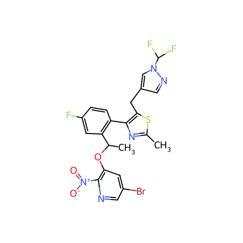 Cc1nc(-c2ccc(F)cc2C(C)Oc2cc(Br)cnc2[N+](=O)[O-])c(Cc2cnn(C(F)F)c2)s1